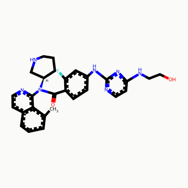 Cc1cccc2ccnc(N(C(=O)c3ccc(Nc4nccc(NCCO)n4)cc3F)[C@@H]3CCCNC3)c12